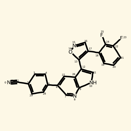 N#Cc1ccc(-c2cnc3[nH]cc(-c4oncc4-c4cccc(F)c4F)c3c2)cc1